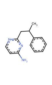 CC(Cc1nccc(N)n1)c1ccccc1